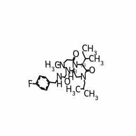 CCC(C)[C@H]1C(=O)N(CC(C)C)C[C@H]2N1C(=O)CN(C)N2C(=O)NCc1ccc(F)cc1